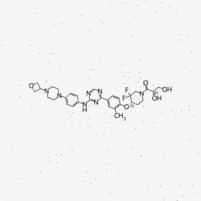 Cc1cc(-c2ncnc(Nc3ccc(N4CCN(C5COC5)CC4)cc3)n2)ccc1O[C@H]1CCN(C(=O)[C@H](O)CO)CC1(F)F